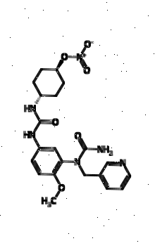 COc1ccc(NC(=O)N[C@H]2CC[C@H](O[N+](=O)[O-])CC2)cc1N(Cc1cccnc1)C(N)=O